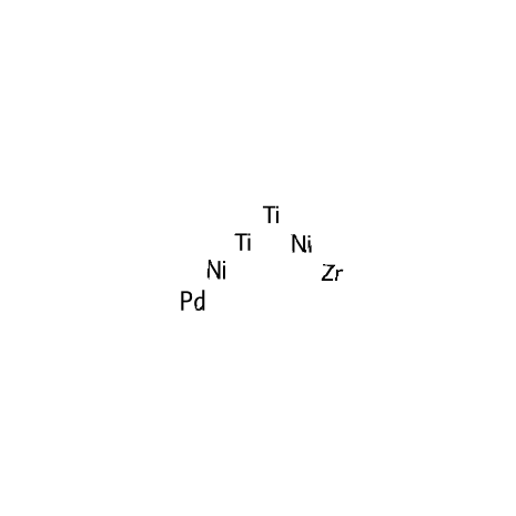 [Ni].[Ni].[Pd].[Ti].[Ti].[Zr]